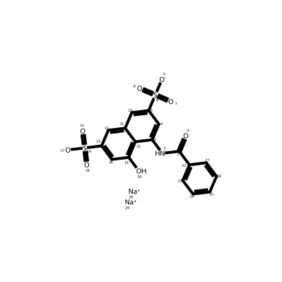 O=C(Nc1cc(S(=O)(=O)[O-])cc2cc(S(=O)(=O)[O-])cc(O)c12)c1ccccc1.[Na+].[Na+]